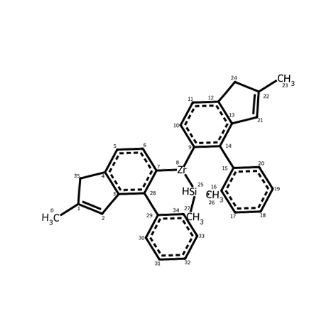 CC1=Cc2c(cc[c]([Zr]([c]3ccc4c(c3-c3ccccc3)C=C(C)C4)[SiH](C)C)c2-c2ccccc2)C1